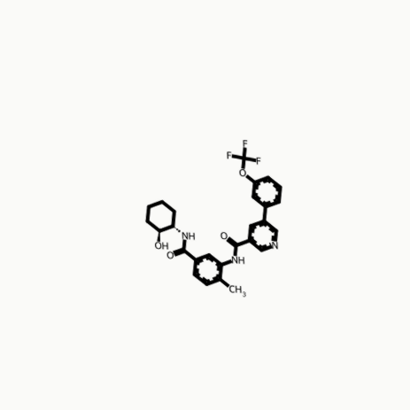 Cc1ccc(C(=O)N[C@H]2CCCC[C@@H]2O)cc1NC(=O)c1cncc(-c2cccc(OC(F)(F)F)c2)c1